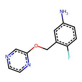 Nc1ccc(F)c(COc2cnccn2)c1